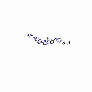 NCCNCc1ccc(-c2ccnc(Nc3cccc(CN4CCN(CC(=O)O)CC4)c3)n2)cn1